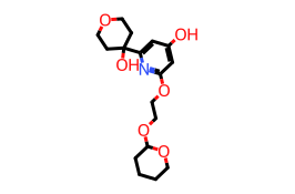 Oc1cc(OCCOC2CCCCO2)nc(C2(O)CCOCC2)c1